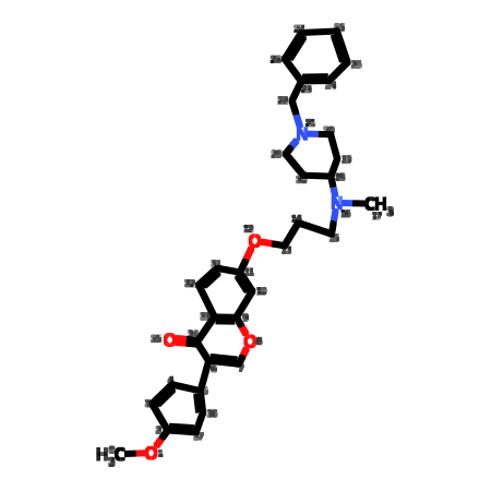 COc1ccc(-c2coc3cc(OCCCN(C)C4CCN(Cc5ccccc5)CC4)ccc3c2=O)cc1